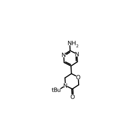 CC(C)(C)N1CC(c2cnc(N)nc2)OCC1=O